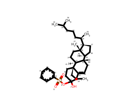 CCC[C@]12CCC(O)(OS(=O)(=O)c3ccccc3)CC1=CC[C@@H]1[C@@H]2CC[C@]2(C)[C@@H]([C@H](C)CCCC(C)C)CC[C@@H]12